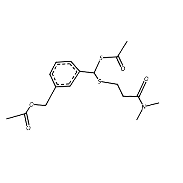 CC(=O)OCc1cccc(C(SCCC(=O)N(C)C)SC(C)=O)c1